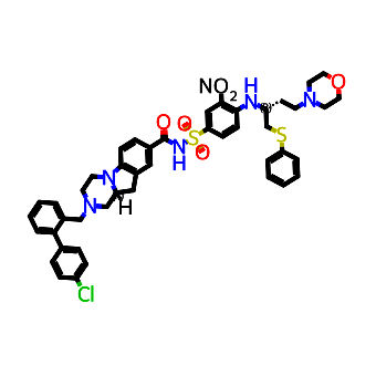 O=C(NS(=O)(=O)c1ccc(N[C@H](CCN2CCOCC2)CSc2ccccc2)c([N+](=O)[O-])c1)c1ccc2c(c1)C[C@@H]1CN(Cc3ccccc3-c3ccc(Cl)cc3)CCN21